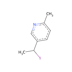 Cc1ccc(C(C)I)cn1